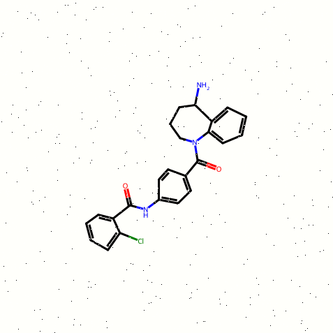 NC1CCCN(C(=O)c2ccc(NC(=O)c3ccccc3Cl)cc2)c2ccccc21